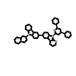 c1ccc(-c2cc(-c3ccccc3)nc(-n3c4ccc(-c5ccc6c(c5)c5ccccc5n6-c5ccc6ccccc6c5)cc4c4cccnc43)c2)cc1